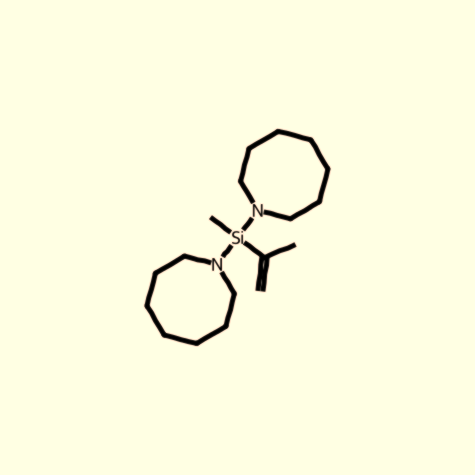 C=C(C)[Si](C)(N1CCCCCCC1)N1CCCCCCC1